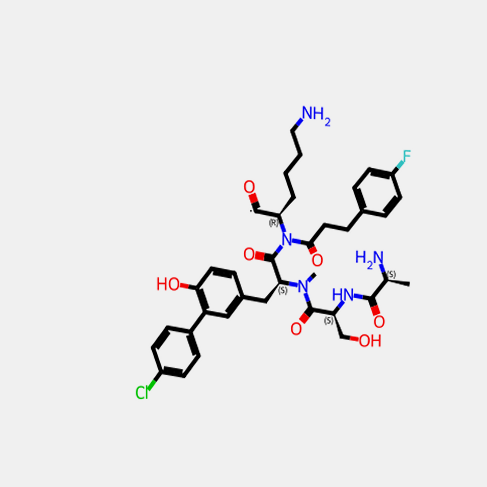 C[C@H](N)C(=O)N[C@@H](CO)C(=O)N(C)[C@@H](Cc1ccc(O)c(-c2ccc(Cl)cc2)c1)C(=O)N(C(=O)CCc1ccc(F)cc1)[C@@H]([C]=O)CCCCN